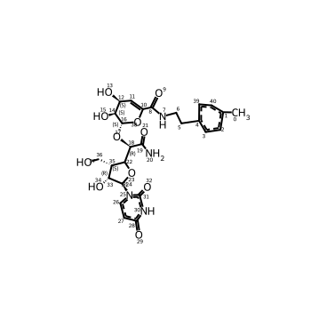 Cc1ccc(CCNC(=O)C2=C[C@H](O)[C@H](O)[C@@H](O[C@@H](C(N)=O)C3O[C@@H](n4ccc(=O)[nH]c4=O)[C@H](O)[C@@H]3CO)O2)cc1